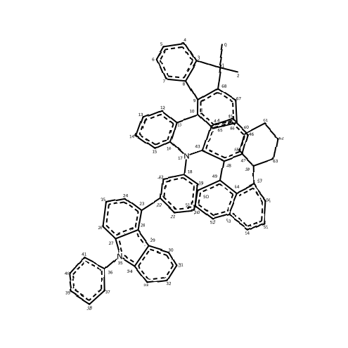 CC1(C)c2ccccc2-c2c(-c3ccccc3N(c3cccc(-c4cccc5c4c4ccccc4n5-c4ccccc4)c3)c3ccccc3-c3cccc4cccc(C5CCCCC5)c34)cccc21